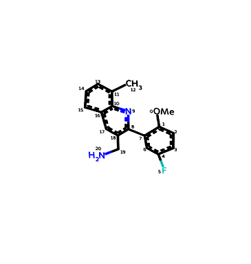 COc1ccc(F)cc1-c1nc2c(C)cccc2cc1CN